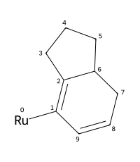 [Ru][C]1=C2CCCC2CC=C1